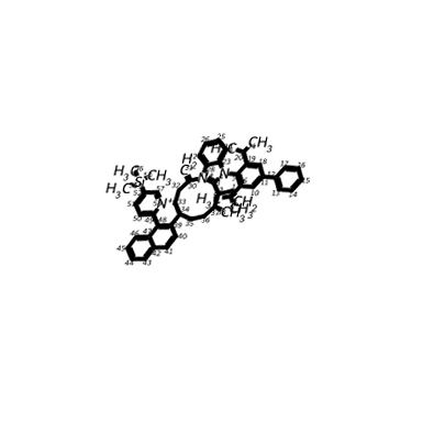 C=CC1c2n(-c3c(C(C)C)cc(-c4ccccc4)cc3C(C)C)c3ccccc3[n+]2C(=C)CC2C(CCC1C)c1ccc3ccccc3c1-c1ccc([Si](C)(C)C)c[n+]12